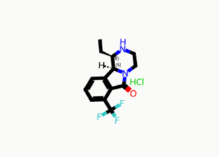 CC[C@H]1NCCN2C(=O)c3c(cccc3C(F)(F)F)[C@@H]12.Cl